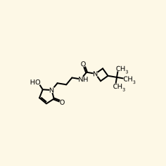 CC(C)(C)C1CN(C(=O)NCCCN2C(=O)C=CC2O)C1